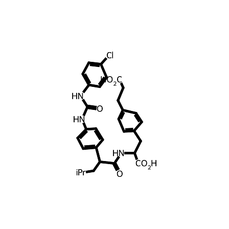 CC(C)CC(C(=O)NC(Cc1ccc(CCC(=O)O)cc1)C(=O)O)c1ccc(NC(=O)Nc2ccc(Cl)cc2)cc1